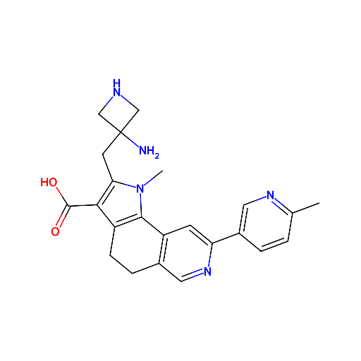 Cc1ccc(-c2cc3c(cn2)CCc2c(C(=O)O)c(CC4(N)CNC4)n(C)c2-3)cn1